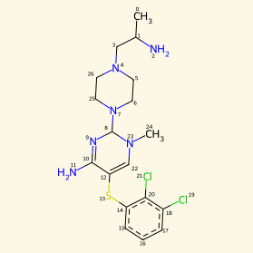 CC(N)CN1CCN(C2N=C(N)C(Sc3cccc(Cl)c3Cl)=CN2C)CC1